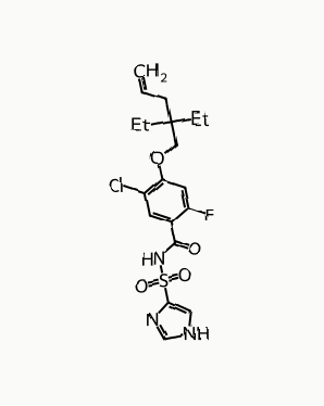 C=CCC(CC)(CC)COc1cc(F)c(C(=O)NS(=O)(=O)c2c[nH]cn2)cc1Cl